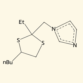 CCCCC1CSC(CC)(Cn2ccnc2)S1